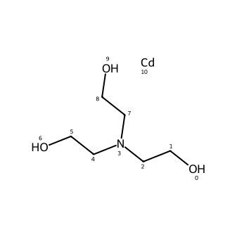 OCCN(CCO)CCO.[Cd]